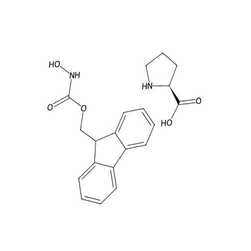 O=C(NO)OCC1c2ccccc2-c2ccccc21.O=C(O)[C@@H]1CCCN1